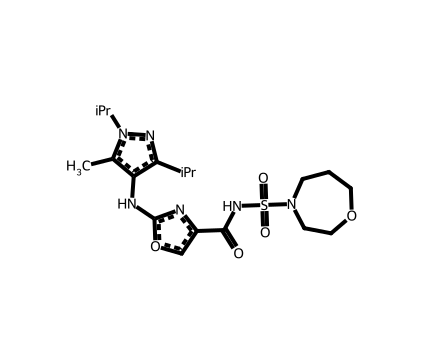 Cc1c(Nc2nc(C(=O)NS(=O)(=O)N3CCCOCC3)co2)c(C(C)C)nn1C(C)C